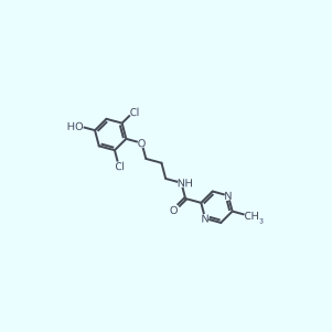 Cc1cnc(C(=O)NCCCOc2c(Cl)cc(O)cc2Cl)cn1